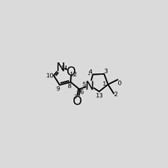 CC1(C)C[CH]N(C(=O)c2ccno2)C1